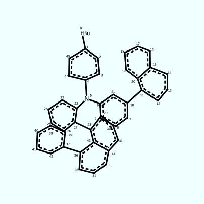 CC(C)(C)c1ccc(N(c2cccc(-c3cccc4ccccc34)c2)c2ccccc2-c2cccc3cccc(-c4ccccc4)c23)cc1